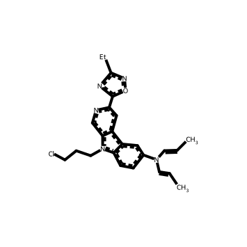 CC=CN(C=CC)c1ccc2c(c1)c1cc(-c3nc(CC)no3)ncc1n2CCCCl